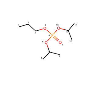 CCCOP(=O)(OC(C)C)OC(C)C